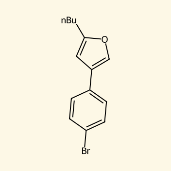 [CH2]CCCc1cc(-c2ccc(Br)cc2)co1